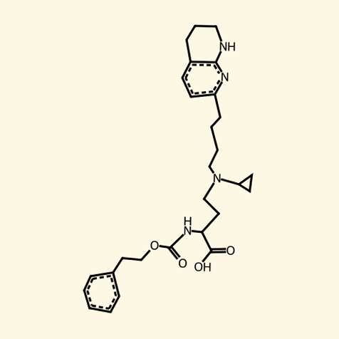 O=C(NC(CCN(CCCCc1ccc2c(n1)NCCC2)C1CC1)C(=O)O)OCCc1ccccc1